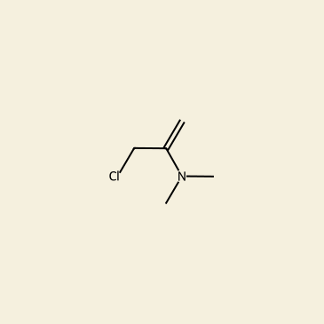 C=C(CCl)N(C)C